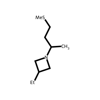 CCC1CN(C(C)CCSC)C1